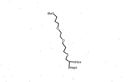 CCCCCCCC(CCCCCC)CSCCCOCCOCCCSC